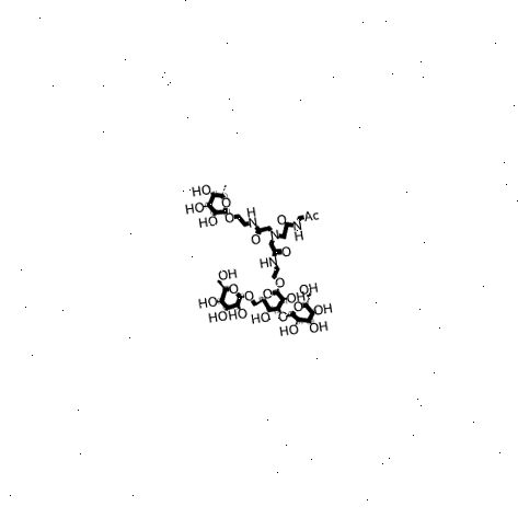 CC(=O)CNC(=O)CN(CC(=O)NCCO[C@@H]1O[C@@H](C)[C@@H](O)[C@@H](O)[C@@H]1O)CC(=O)NCCO[C@H]1O[C@H](CO[C@H]2O[C@H](CO)[C@@H](O)[C@H](O)[C@@H]2O)[C@@H](O)[C@H](O[C@H]2O[C@H](CO)[C@@H](O)[C@H](O)[C@@H]2O)[C@@H]1O